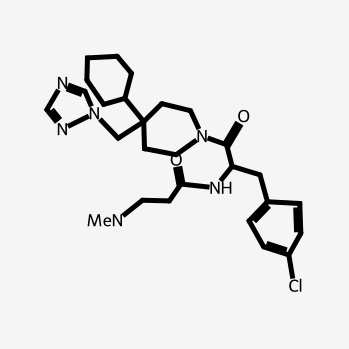 CNCCC(=O)NC(Cc1ccc(Cl)cc1)C(=O)N1CCC(Cn2cncn2)(C2CCCCC2)CC1